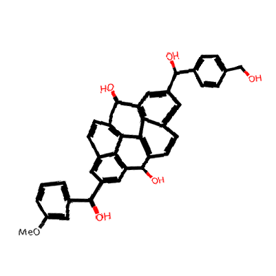 COc1cccc(C(O)c2cc3c4c5c(ccc4c2)C(O)c2cc(C(O)c4ccc(CO)cc4)cc4ccc(c-5c24)C3O)c1